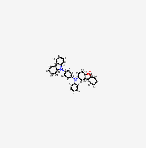 c1ccc(N(c2ccc(-n3c4ccccc4c4ccccc43)cc2)c2ccc3oc4ccccc4c3c2)cc1